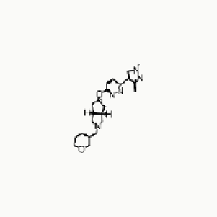 Cc1nn(C)cc1-c1ccc(O[C@@H]2C[C@@H]3CN(CC4CCCOC4)C[C@@H]3C2)nn1